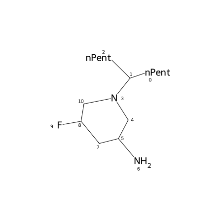 CCCCCC(CCCCC)N1CC(N)CC(F)C1